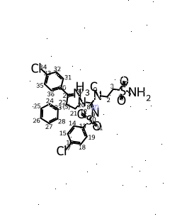 CN(CCS(N)(=O)=O)/C(=N/S(=O)(=O)c1ccc(Cl)cc1)N1C[C@H](c2ccccc2)C(c2ccc(Cl)cc2)=N1